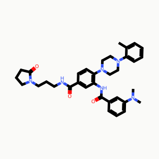 Cc1ccccc1N1CCN(c2ccc(C(=O)NCCCN3CCCC3=O)cc2NC(=O)c2cccc(N(C)C)c2)CC1